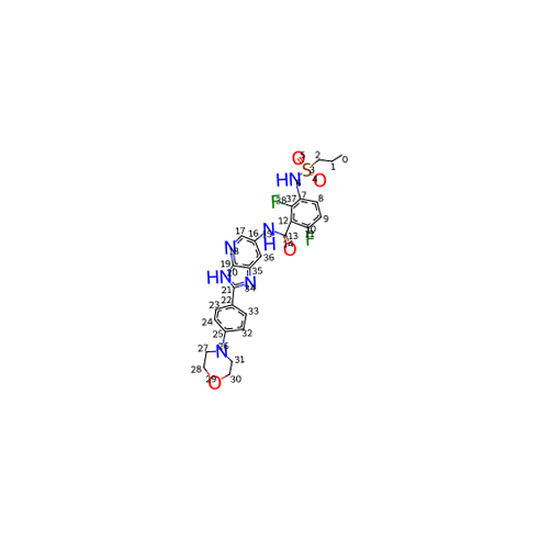 CCCS(=O)(=O)Nc1ccc(F)c(C(=O)Nc2cnc3[nH]c(-c4ccc(N5CCOCC5)cc4)nc3c2)c1F